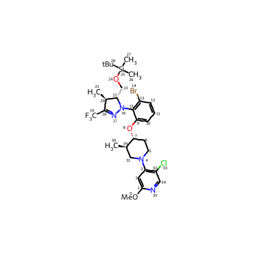 COc1cc(N2CC[C@@H](Oc3cccc(Br)c3N3N=C(C(F)(F)F)[C@@H](C)[C@@H]3CO[Si](C)(C)C(C)(C)C)[C@H](C)C2)c(Cl)cn1